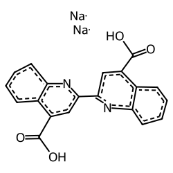 O=C(O)c1cc(-c2cc(C(=O)O)c3ccccc3n2)nc2ccccc12.[Na].[Na]